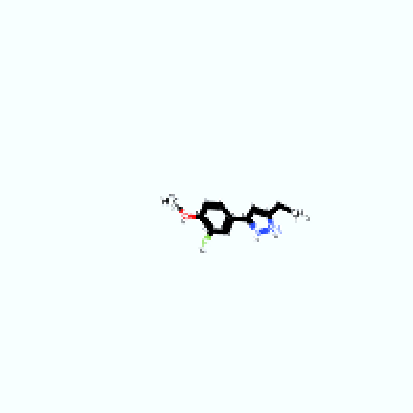 CCc1cc(-c2ccc(OC)c(F)c2)n[nH]1